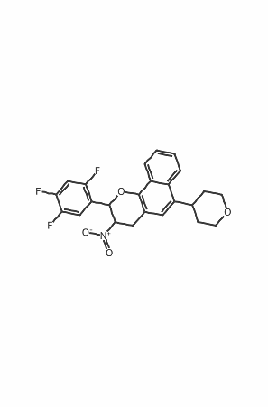 O=[N+]([O-])C1Cc2cc(C3CCOCC3)c3ccccc3c2OC1c1cc(F)c(F)cc1F